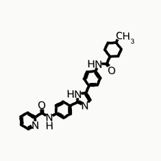 CC1CCC(C(=O)Nc2ccc(-c3cnc(-c4ccc(NC(=O)c5ccccn5)cc4)[nH]3)cc2)CC1